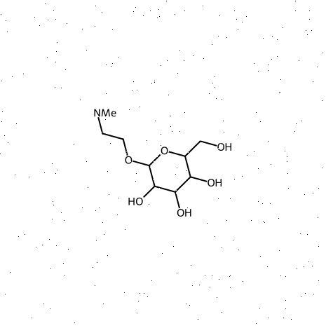 CNCCOC1OC(CO)C(O)C(O)C1O